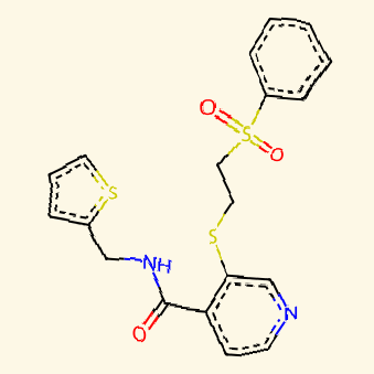 O=C(NCc1cccs1)c1ccncc1SCCS(=O)(=O)c1ccccc1